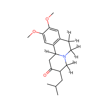 [2H]C12CC(=O)C(CC(C)C)C([2H])([2H])N1C([2H])([2H])C([2H])([2H])c1cc(OC)c(OC)cc12